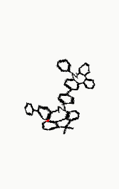 CC1(C)c2ccccc2-c2c(N(c3ccc(-c4ccccc4)cc3)c3ccc(-c4ccc5c(c4)-c4ccccc4-c4ccccc4N5c4ccccc4)cc3)cccc21